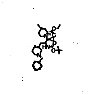 CCOC(=O)[C@H]1C[C@H](C)CCN1C(=O)C(CC1=CCCN(Cc2ccccc2)C1)NC(=O)OC(C)(C)C